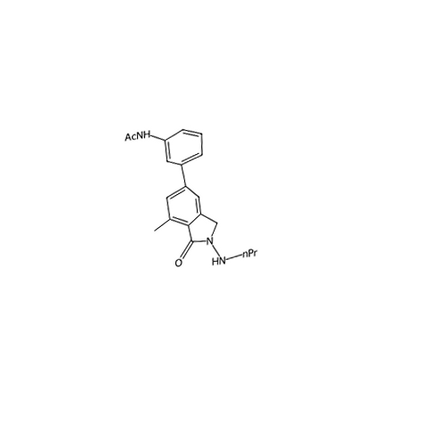 CCCNN1Cc2cc(-c3cccc(NC(C)=O)c3)cc(C)c2C1=O